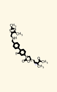 CC(=O)/C(C)=C\C[C@H]1CN(c2ccc(-c3ccc(CNCc4sc(C)nc4C)cc3)c(F)c2)C(=O)O1